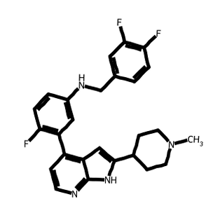 CN1CCC(c2cc3c(-c4cc(NCc5ccc(F)c(F)c5)ccc4F)ccnc3[nH]2)CC1